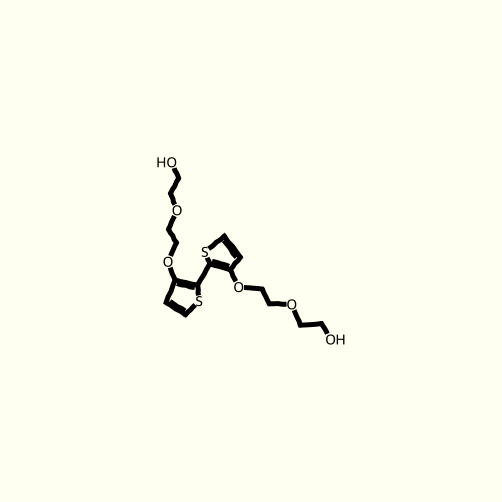 OCCOCCOc1ccsc1-c1sccc1OCCOCCO